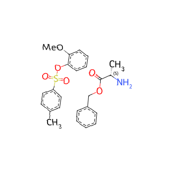 COc1ccccc1OS(=O)(=O)c1ccc(C)cc1.C[C@H](N)C(=O)OCc1ccccc1